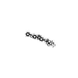 CC(C)(C)OC(=O)CCN1CCc2nc(-c3ccc(OCc4ccccc4)cc3)ncc2C1